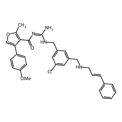 COc1ccc(-c2noc(C)c2C(=O)N=C(N)NCc2cc(Cl)cc(CNC/C=C/c3ccccc3)c2)cc1